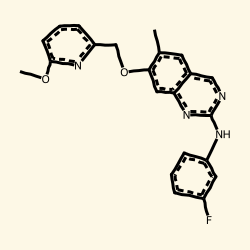 COc1cccc(COc2cc3nc(Nc4cccc(F)c4)ncc3cc2C)n1